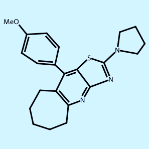 COc1ccc(-c2c3c(nc4nc(N5CCCC5)sc24)CCCCC3)cc1